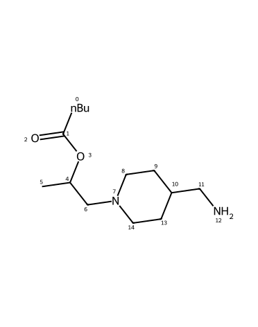 CCCCC(=O)OC(C)CN1CCC(CN)CC1